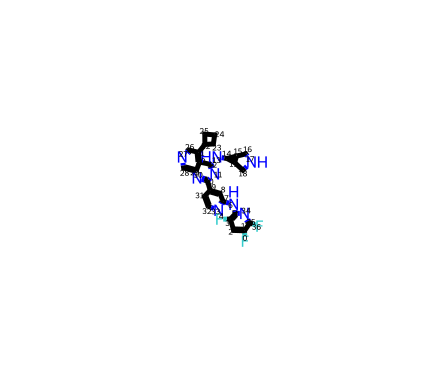 Fc1cc(F)c(Nc2cc(-c3nc(NC4C5CNCC54)c4c(C5CCC5)cncc4n3)ccn2)nc1F